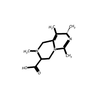 CC1=N[C@@H](C)C(C)=C2CN(C)C(C(=O)O)CN12